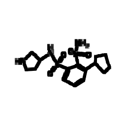 NS(=O)(=O)c1c(C2CCCC2)cccc1S(=O)(=O)NC1CCNC1